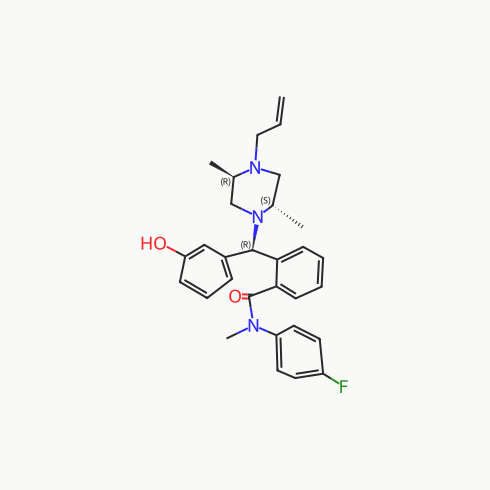 C=CCN1C[C@H](C)N([C@H](c2cccc(O)c2)c2ccccc2C(=O)N(C)c2ccc(F)cc2)C[C@H]1C